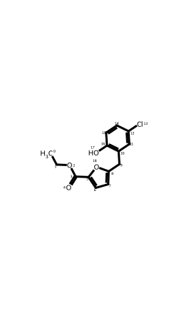 CCOC(=O)c1ccc(Cc2cc(Cl)ccc2O)o1